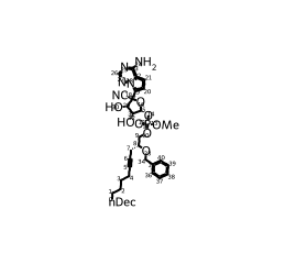 CCCCCCCCCCCCCCC#CC[C@H](COP(=O)(OC)O[C@H]1O[C@@](C#N)(c2ccc3c(N)ncnn23)[C@H](O)[C@@H]1O)OCc1ccccc1